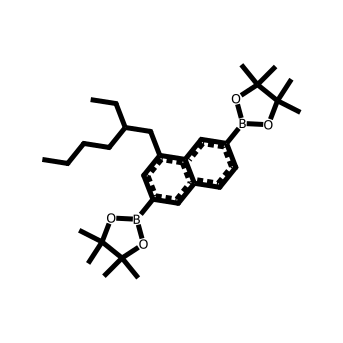 CCCCC(CC)Cc1cc(B2OC(C)(C)C(C)(C)O2)cc2ccc(B3OC(C)(C)C(C)(C)O3)cc12